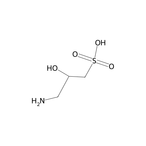 NCC(O)CS(=O)(=O)O